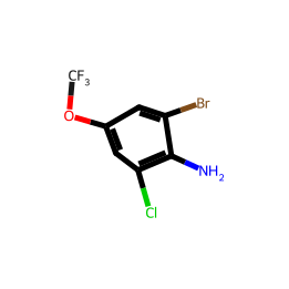 Nc1c(Cl)cc(OC(F)(F)F)cc1Br